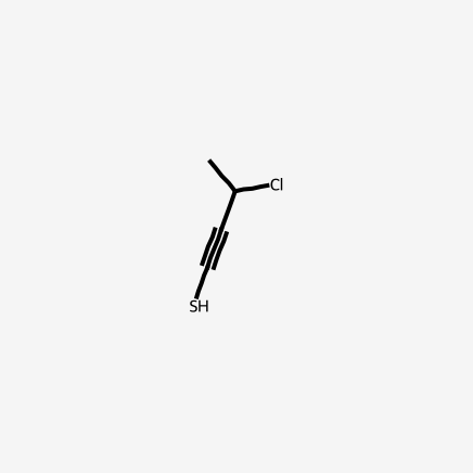 CC(Cl)C#CS